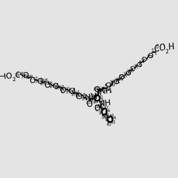 O=C(O)CCOCCOCCOCCOCCOCCOCCOCCOCCNC(=O)c1cc(NC(=O)c2ccc(-c3ccccc3)cc2)cc(C(=O)NCCOCCOCCOCCOCCOCCOCCOCCOCCC(=O)O)c1